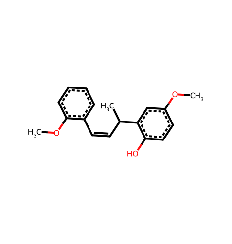 COc1ccc(O)c(C(C)/C=C\c2ccccc2OC)c1